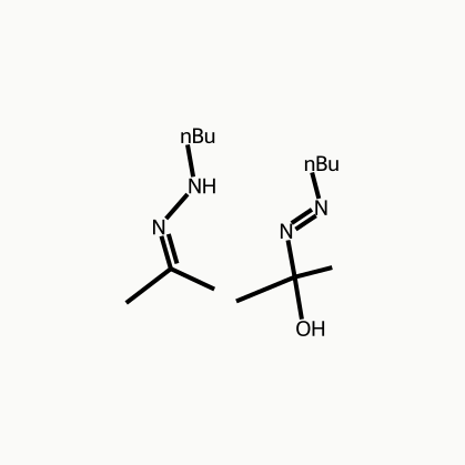 CCCCN=NC(C)(C)O.CCCCNN=C(C)C